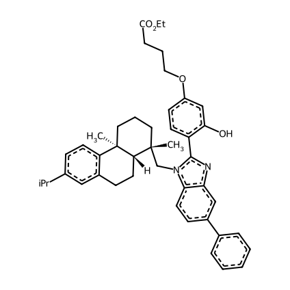 CCOC(=O)CCCOc1ccc(-c2nc3cc(-c4ccccc4)ccc3n2C[C@@]2(C)CCC[C@]3(C)c4ccc(C(C)C)cc4CC[C@@H]23)c(O)c1